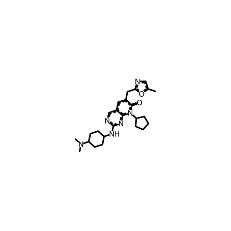 Cc1cnc(Cc2cc3cnc(NC4CCC(N(C)C)CC4)nc3n(C3CCCC3)c2=O)o1